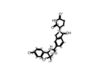 O=C1CCC(N2Cc3cc(C(=O)NC(c4ccc(Cl)cc4Cl)C(F)(F)F)ccc3C2O)C(=O)N1